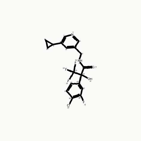 O=C(NCc1cncc(C2CC2)c1)C(O)(c1ccc(Cl)c(F)c1)C(F)(F)F